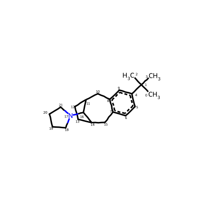 CC(C)(C)c1ccc2c(c1)CC1CCC(C2)C1N1CCCC1